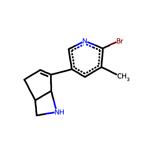 Cc1cc(C2=CCC3CNC23)cnc1Br